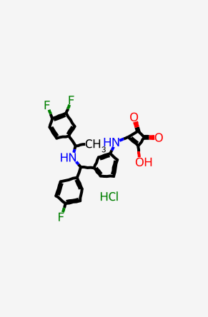 CC(NC(c1ccc(F)cc1)c1cccc(Nc2c(O)c(=O)c2=O)c1)c1ccc(F)c(F)c1.Cl